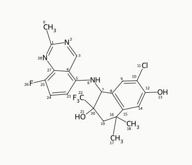 Cc1ncc2c(NC3c4cc(Cl)c(O)cc4C(C)(C)CC3(O)C(F)(F)F)ccc(F)c2n1